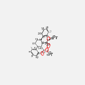 CC(C)OC(=O)C1C(c2ccccc2)CCC(c2ccccc2)C1C(=O)OC(C)C